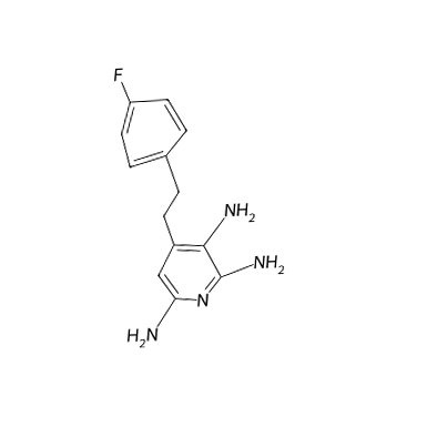 Nc1cc(CCc2ccc(F)cc2)c(N)c(N)n1